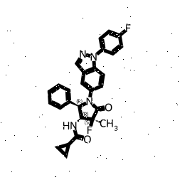 C[C@@]1(F)C(=O)N(c2ccc3c(cnn3-c3ccc(F)cc3)c2)[C@H](c2ccccc2)[C@H]1NC(=O)C1CC1